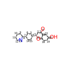 O=c1cc(-c2ccc(-c3ccccn3)cc2)oc2ccc(O)cc12